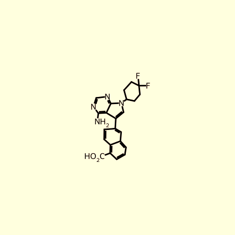 Nc1ncnc2c1c(-c1ccc3c(C(=O)O)cccc3c1)cn2C1CCC(F)(F)CC1